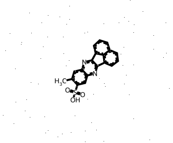 Cc1cc2nc3c(nc2cc1S(=O)(=O)O)-c1cccc2cccc-3c12